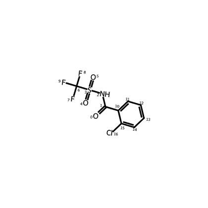 O=C(NS(=O)(=O)C(F)(F)F)c1ccccc1Cl